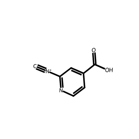 [C-]#[N+]c1cc(C(=O)O)ccn1